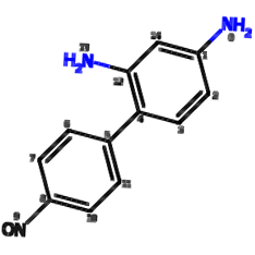 Nc1ccc(-c2ccc(N=O)cc2)c(N)c1